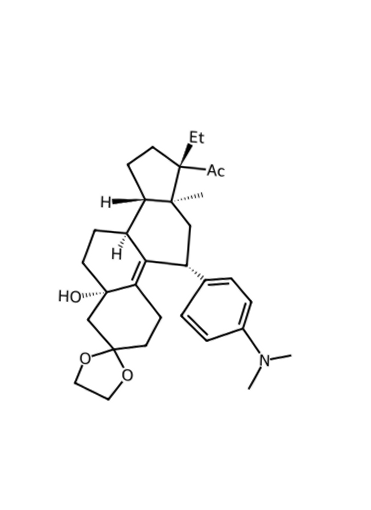 CC[C@]1(C(C)=O)CC[C@H]2[C@@H]3CC[C@]4(O)CC5(CCC4=C3[C@@H](c3ccc(N(C)C)cc3)C[C@@]21C)OCCO5